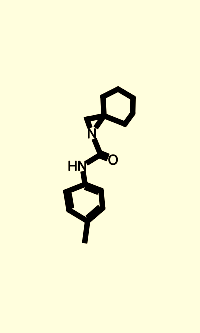 Cc1ccc(NC(=O)N2CC23CCCCC3)cc1